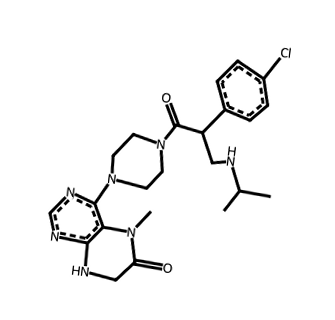 CC(C)NCC(C(=O)N1CCN(c2ncnc3c2N(C)C(=O)CN3)CC1)c1ccc(Cl)cc1